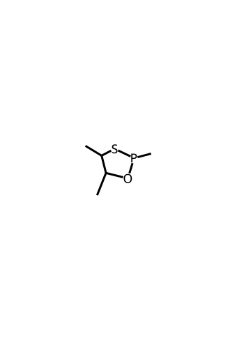 CC1OP(C)SC1C